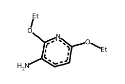 CCOc1ccc(N)c(OCC)n1